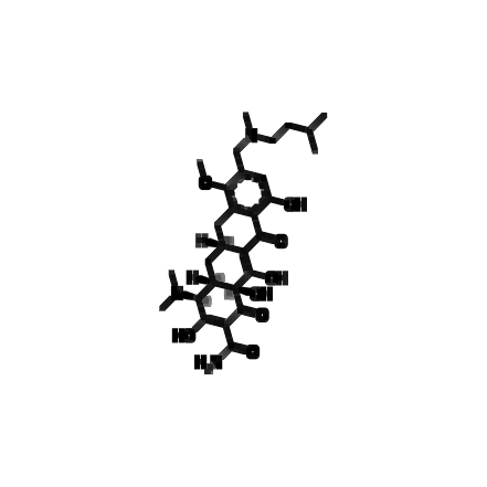 COc1c(CN(C)CCC(C)C)cc(O)c2c1C[C@H]1C[C@H]3[C@H](N(C)C)C(O)=C(C(N)=O)C(=O)[C@@]3(O)C(O)=C1C2=O